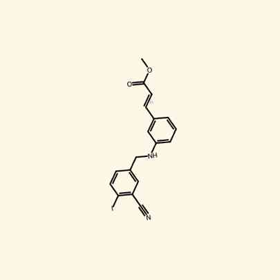 COC(=O)/C=C/c1cccc(NCc2ccc(I)c(C#N)c2)c1